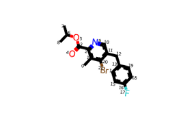 Cc1c(C(=O)OC(C)C)ncc(Cc2ccc(F)cc2)c1Br